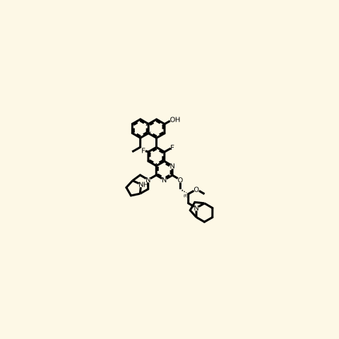 CCc1cccc2cc(O)cc(-c3c(F)cc4c(N5CC6CCC(C5)N6)nc(OC[C@@H](CN5C6CCCC5CC6)OC)nc4c3F)c12